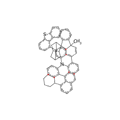 CC12C=CC(c3ccccc3N(c3cccc(-c4cccc5sc6ccccc6c45)c3)c3ccccc3-c3cccc4cccc(C5CCCCC5)c34)=CC1C1(c3ccccc32)C2CC3CC2CC31